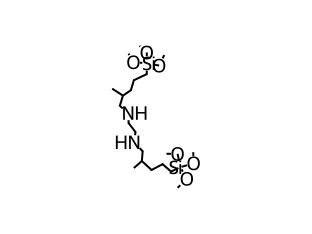 CO[Si](CCCC(C)CNCCNCC(C)CCC[Si](OC)(OC)OC)(OC)OC